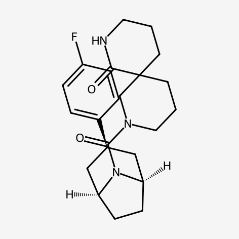 O=C(N1CCCC2(CCCNC2=O)C1)N1[C@@H]2CC[C@H]1C[C@@H](c1ccc(F)cc1)C2